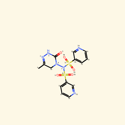 CC1=NNC(=O)N(N(S(=O)(=O)c2cccnc2)S(=O)(=O)c2cccnc2)C1